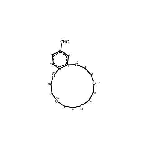 O=Cc1ccc2c(c1)OCCOCCOCCOCCO2